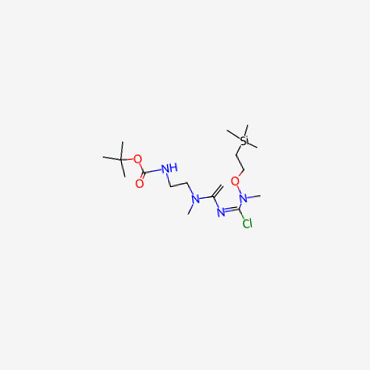 C=C(/N=C(/Cl)N(C)OCC[Si](C)(C)C)N(C)CCNC(=O)OC(C)(C)C